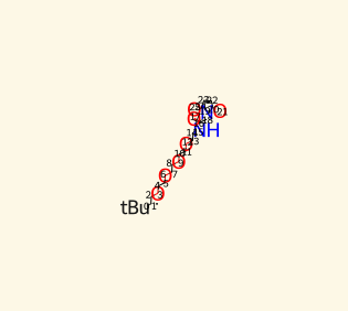 CC(C)(C)[CH]COCCOCCOCCOCCNC(=O)CN1C(=O)C=CC1=O